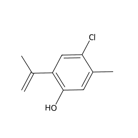 C=C(C)c1cc(Cl)c(C)cc1O